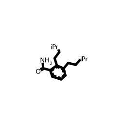 CC(C)CCc1cccc(C(N)=O)c1CCC(C)C